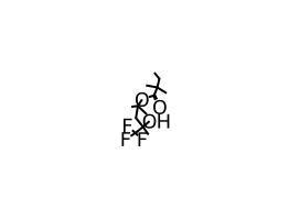 CCC(C)(C)C(=O)OC(C)(C)CC(C)(O)C(F)(F)F